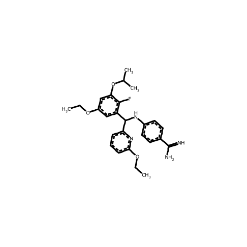 CCOc1cc(OC(C)C)c(F)c(C(Nc2ccc(C(=N)N)cc2)c2cccc(OCC)n2)c1